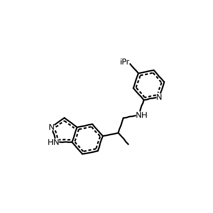 CC(C)c1ccnc(NCC(C)c2ccc3[nH]ncc3c2)c1